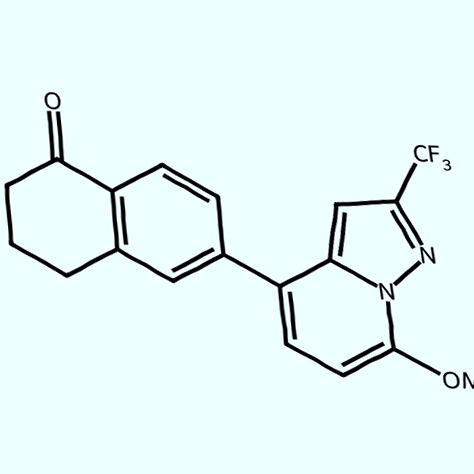 COc1ccc(-c2ccc3c(c2)CCCC3=O)c2cc(C(F)(F)F)nn12